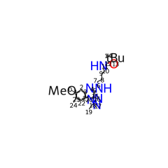 COc1cc2nc(NCCCCNC(=O)C(C)(C)C)c3nnc(C)n3c2cc1C